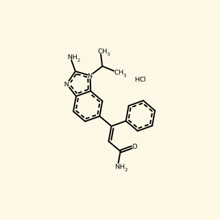 CC(C)n1c(N)nc2ccc(C(=CC(N)=O)c3ccccc3)cc21.Cl